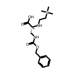 C[Si](C)(C)CCN[C@H](CNC(=O)OCc1ccccc1)C(=O)O